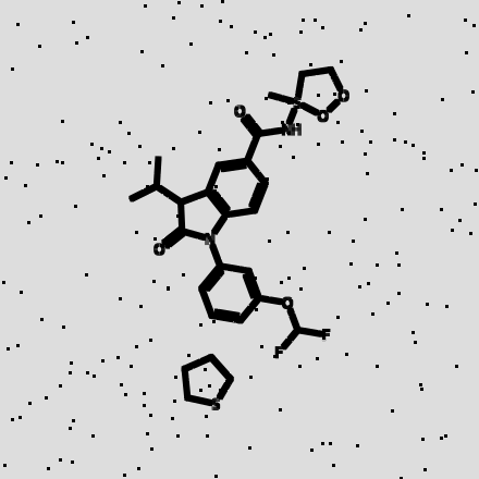 C1CCSC1.CC(C)C1C(=O)N(c2cccc(OC(F)F)c2)c2ccc(C(=O)NS3(C)CCOO3)cc21